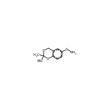 CC(C)(C)C1(C)OCc2cc(SN)ccc2O1